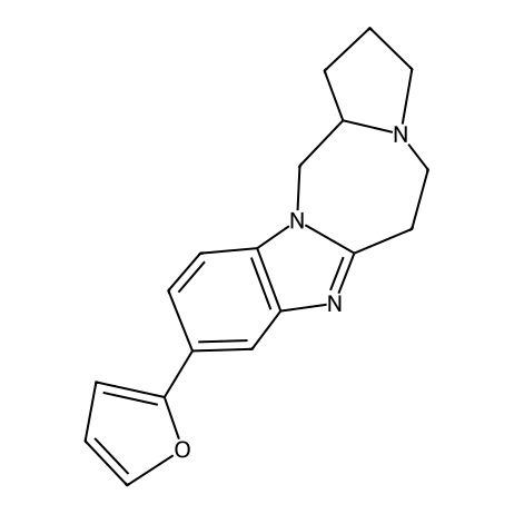 c1coc(-c2ccc3c(c2)nc2n3CC3CCCN3CC2)c1